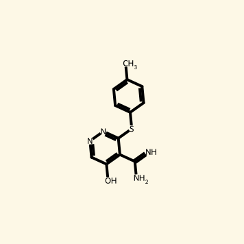 Cc1ccc(Sc2nncc(O)c2C(=N)N)cc1